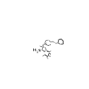 CC1=C(C)C2=C(N)C(C)(CN3CCC(CCc4ccccc4)CC3)CC2=C(C)O1